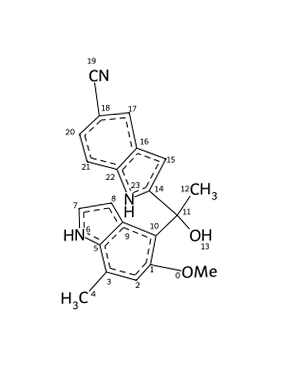 COc1cc(C)c2[nH]ccc2c1C(C)(O)c1cc2cc(C#N)ccc2[nH]1